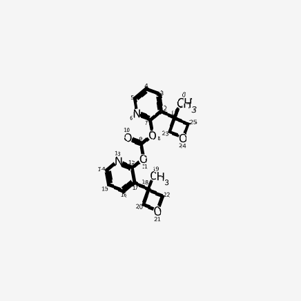 CC1(c2cccnc2OC(=O)Oc2ncccc2C2(C)COC2)COC1